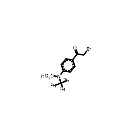 [2H]C([2H])([2H])N(C(=O)O)c1ccc(C(=O)CBr)cc1